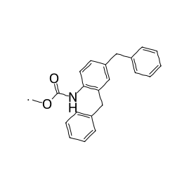 [CH2]OC(=O)Nc1ccc(Cc2ccccc2)cc1Cc1ccccc1